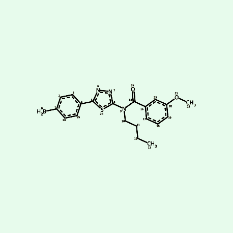 Bc1ccc(-c2nnc(N(CCCC)C(=O)c3cccc(OC)c3)s2)cc1